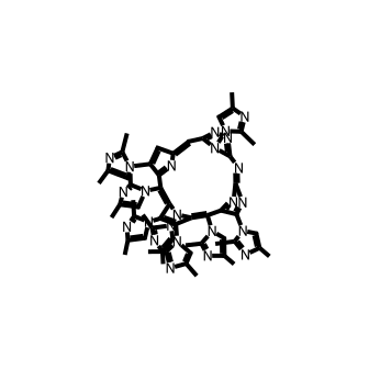 Cc1cn(C2=Cc3cc4nnc(nc5nc(c(-n6cc(C)nc6C)c6c(-n7cc(C)nc7C)c(-n7cc(C)nc7C)c(c(-n7cc(C)nc7C)c2n3)n6-n2cc(C)nc2C)C(n2cc(C)nc2C)=N5)n4-n2cc(C)nc2C)c(C)n1